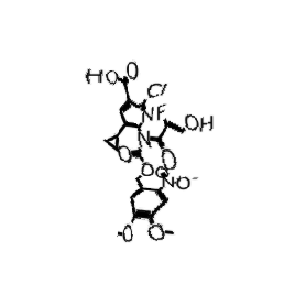 COc1cc(COC(=O)N(C(=O)C(F)=CO)c2nc(Cl)c(C(=O)O)cc2C2CC2)c([N+](=O)[O-])cc1OC